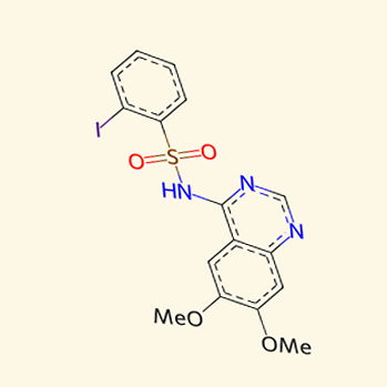 COc1cc2ncnc(NS(=O)(=O)c3ccccc3I)c2cc1OC